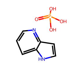 O=P(O)(O)O.c1cnc2cc[nH]c2c1